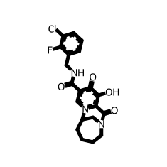 O=C(NCc1cccc(Cl)c1F)c1cn2c(c(O)c1=O)C(=O)N1CCCCC2C1